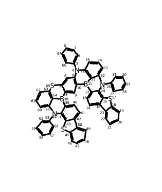 c1ccc(N2c3cc4c(cc3B3c5ccc6c(sc7ccccc76)c5N(c5ccccc5)c5cccc2c53)B2c3ccc5c(sc6ccccc65)c3N(c3ccccc3)c3cccc(c32)S4)cc1